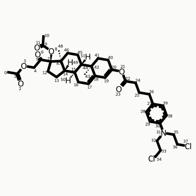 CC(=O)OCC(=O)[C@@]1(OC(C)=O)CC[C@H]2[C@@H]3CC=C4C=C(OC(=O)CCCc5ccc(N(CCCl)CCCl)cc5)CC[C@]4(C)[C@H]3CC[C@@]21C